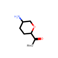 COC(=O)C1CCC(N)CO1